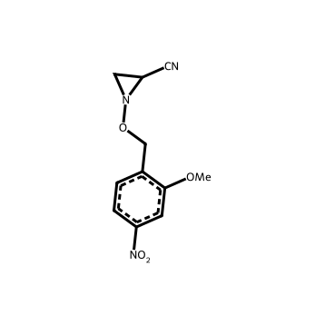 COc1cc([N+](=O)[O-])ccc1CON1CC1C#N